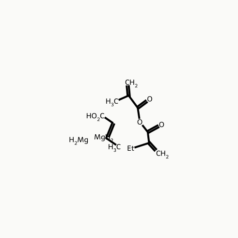 C=C(C)C(=O)OC(=O)C(=C)CC.CC=CC(=O)O.[MgH2].[MgH2]